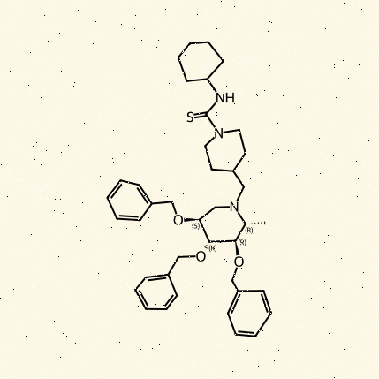 C[C@@H]1[C@@H](OCc2ccccc2)[C@H](OCc2ccccc2)[C@@H](OCc2ccccc2)CN1CC1CCN(C(=S)NC2CCCCC2)CC1